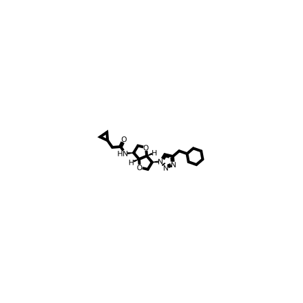 O=C(CC1CC1)N[C@H]1CO[C@H]2[C@@H]1OC[C@@H]2n1cc(CC2CCCCC2)nn1